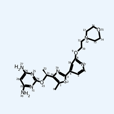 Cc1sc(-c2ccnc(OCCN3CCOCC3)c2)nc1[C@H](C)Oc1nc(N)cc(N)n1